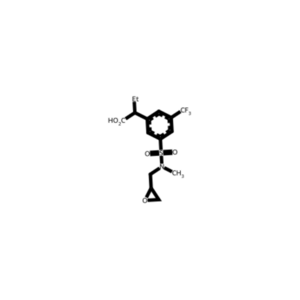 CCC(C(=O)O)c1cc(C(F)(F)F)cc(S(=O)(=O)N(C)CC2CO2)c1